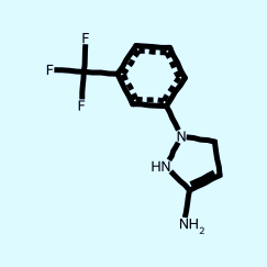 NC1=CCN(c2cccc(C(F)(F)F)c2)N1